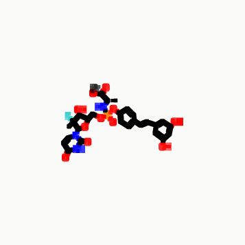 CC(C)OC(=O)[C@H](C)NP(=O)(OCC1O[C@@H](n2ccc(=O)[nH]c2=O)[C@](C)(F)[C@@H]1O)Oc1ccc(/C=C/c2cc(O)cc(O)c2)cc1